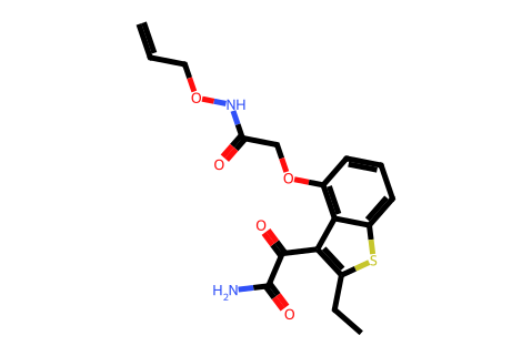 C=CCONC(=O)COc1cccc2sc(CC)c(C(=O)C(N)=O)c12